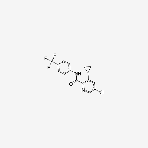 O=C(Nc1ccc(C(F)(F)F)cc1)c1ncc(Cl)cc1C1CC1